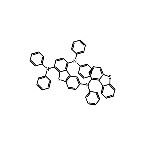 c1ccc(N(c2ccccc2)c2ccc(N(c3ccccc3)c3ccccc3)c3c2sc2ccc(N(c4ccccc4)c4cccc5sc6ccccc6c45)cc23)cc1